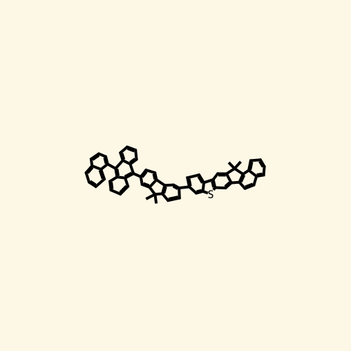 CC1(C)c2ccc(-c3ccc4c(c3)sc3cc5c(cc34)C(C)(C)c3c-5ccc4ccccc34)cc2-c2ccc(-c3c4ccccc4c(-c4cccc5ccccc45)c4ccccc34)cc21